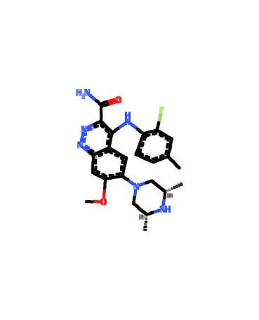 COc1cc2nnc(C(N)=O)c(Nc3ccc(C)cc3F)c2cc1N1C[C@@H](C)N[C@@H](C)C1